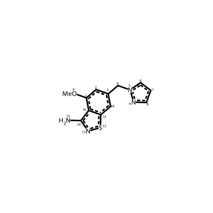 COc1cc(Cn2cccn2)cc2snc(N)c12